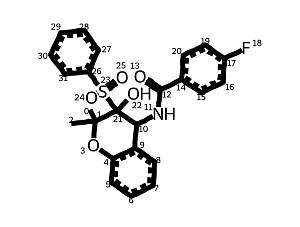 CC1(C)Oc2ccccc2C(NC(=O)c2ccc(F)cc2)C1(O)S(=O)(=O)c1ccccc1